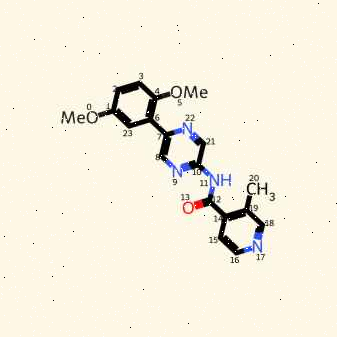 COc1ccc(OC)c(-c2cnc(NC(=O)c3ccncc3C)cn2)c1